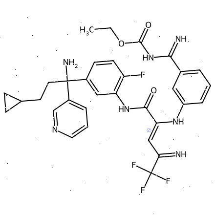 CCOC(=O)NC(=N)c1cccc(N/C(=C\C(=N)C(F)(F)F)C(=O)Nc2cc(C(N)(CCC3CC3)c3cccnc3)ccc2F)c1